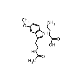 COc1ccc2[nH]cc(CCNC(C)=O)c2c1.NCCCC(=O)O